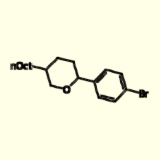 CCCCCCCCC1CCC(c2ccc(Br)cc2)OC1